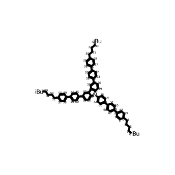 CCC(C)CCCCc1ccc(-c2ccc(-c3ccc(-n4c5ccc(-c6ccc(-c7ccc(CCCCC(C)CC)cc7)cc6)cc5c5cc(-c6ccc(-c7ccc(CCCCC(C)CC)cc7)cc6)ccc54)cc3)cc2)cc1